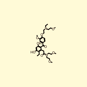 CCc1c(O)cc(O)c(C(=O)c2ccc(OCCN(CC)CCOC)c(OC)c2)c1CC(=O)N(CCOC)CCOC